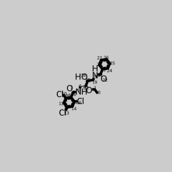 CCO[C@H](CNC(=O)c1c(Cl)cc(Cl)cc1Cl)[C@@H](O)CNC(=O)c1ccccc1